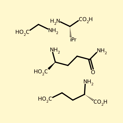 CC(C)[C@H](N)C(=O)O.NC(=O)CC[C@H](N)C(=O)O.NCC(=O)O.N[C@@H](CCC(=O)O)C(=O)O